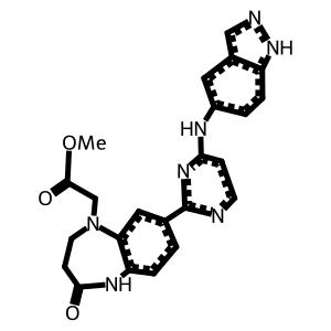 COC(=O)CN1CCC(=O)Nc2ccc(-c3nccc(Nc4ccc5[nH]ncc5c4)n3)cc21